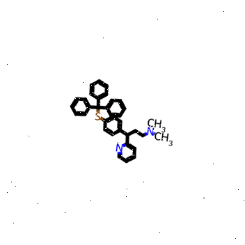 CN(C)CCC(c1ccc(SC(c2ccccc2)(c2ccccc2)c2ccccc2)cc1)c1ccccn1